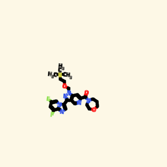 CS(C)(C)CCOCn1nc(-c2cnc3c(F)cc(F)cn23)c2cnc(C(=O)N3CCCOCC3)cc21